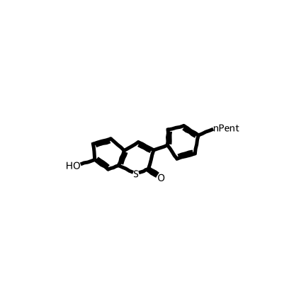 CCCCCc1ccc(-c2cc3ccc(O)cc3sc2=O)cc1